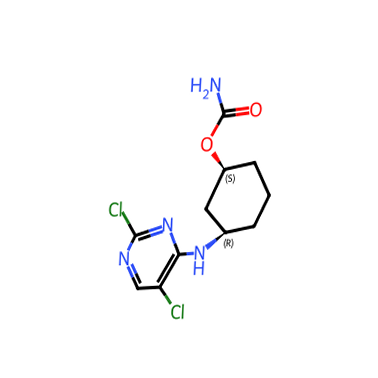 NC(=O)O[C@H]1CCC[C@@H](Nc2nc(Cl)ncc2Cl)C1